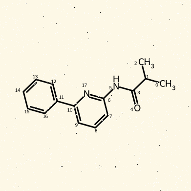 CC(C)C(=O)Nc1cccc(-c2ccccc2)n1